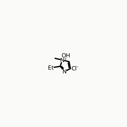 CCC1=NC=C[N+]1(C)O.[Cl-]